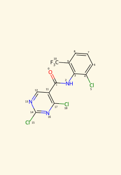 O=C(Nc1c(Cl)cccc1C(F)(F)F)c1cnc(Cl)nc1Cl